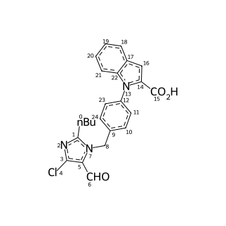 CCCCc1nc(Cl)c(C=O)n1Cc1ccc(-n2c(C(=O)O)cc3ccccc32)cc1